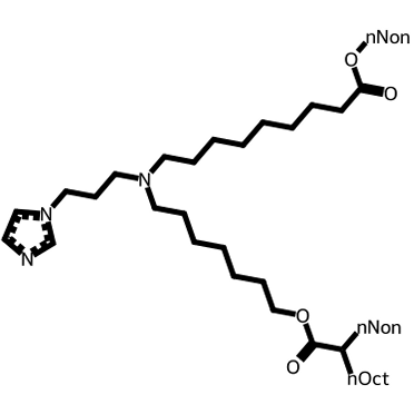 CCCCCCCCCOC(=O)CCCCCCCCN(CCCCCCCOC(=O)C(CCCCCCCC)CCCCCCCCC)CCCn1ccnc1